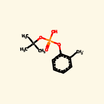 [CH2]c1ccccc1OP(=O)(O)O[Si](C)(C)C